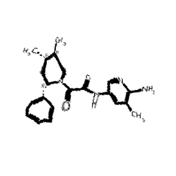 Cc1cc(NC(=O)C(=O)N2C[C@H](C)[C@@H](C)C[C@H]2c2ccccc2)cnc1N